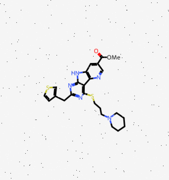 COC(=O)c1cnc2c(c1)[nH]c1nc(Cc3ccsc3)nc(SCCCN3CCCCC3)c12